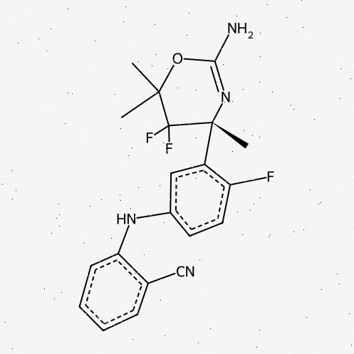 CC1(C)OC(N)=N[C@](C)(c2cc(Nc3ccccc3C#N)ccc2F)C1(F)F